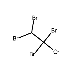 [O]C(Br)(Br)C(Br)Br